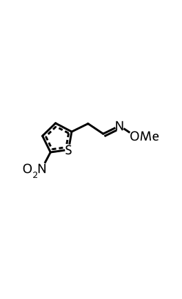 CON=CCc1ccc([N+](=O)[O-])s1